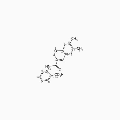 Cc1cc2c(cc1C)OCC(C(=O)Nc1ccccc1C(=O)O)=C2